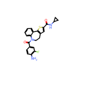 Nc1ccc(C(=O)N2CCc3cc(C(=O)NC4CC4)sc3-c3ccccc32)cc1F